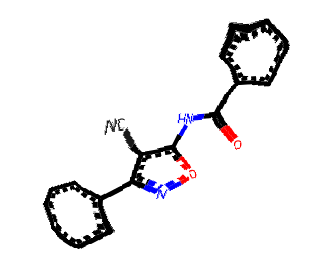 N#Cc1c(-c2ccccc2)noc1NC(=O)c1ccccc1